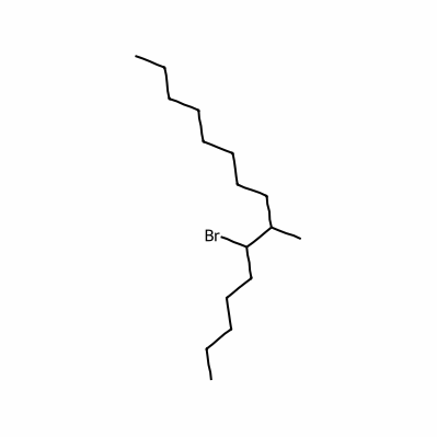 CCCCCCCCC(C)C(Br)CCCCC